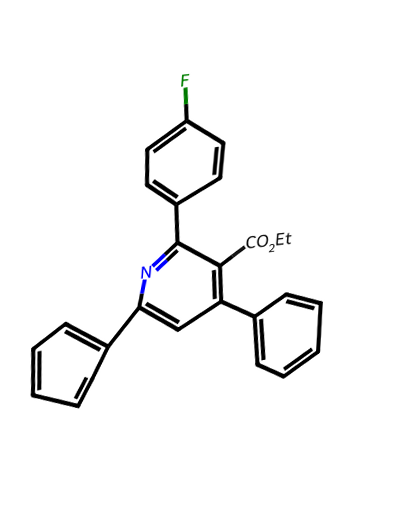 CCOC(=O)c1c(-c2ccccc2)cc(-c2ccccc2)nc1-c1ccc(F)cc1